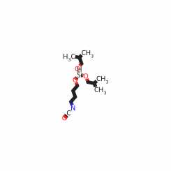 CC(C)CO[SiH](OCCCCN=C=O)OCC(C)C